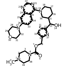 CN1CCN(C(=O)OCc2csc(C(O)C3CCCN(c4ncnc5cc(N6CCOCC6)ccc45)C3)n2)CC1